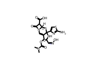 CN(C)C(=O)OCC1=CN2C(=O)C(C(=O)O)[C@@H]2SC1(NC(=O)/C=N\O)c1csc(N)n1